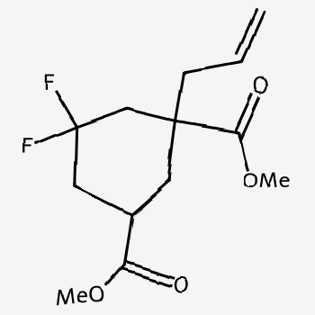 C=CCC1(C(=O)OC)CC(C(=O)OC)CC(F)(F)C1